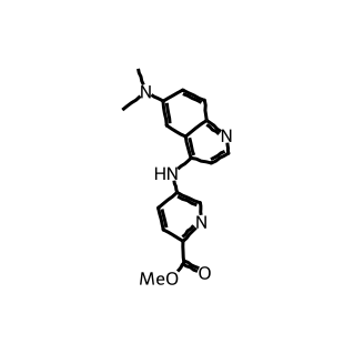 COC(=O)c1ccc(Nc2ccnc3ccc(N(C)C)cc23)cn1